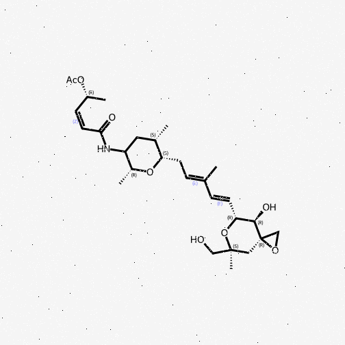 CC(=O)O[C@H](C)/C=C\C(=O)NC1C[C@H](C)[C@H](C/C=C(C)/C=C/[C@H]2O[C@](C)(CO)C[C@@]3(CO3)[C@@H]2O)O[C@@H]1C